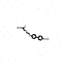 CNC(=O)COCCOc1ccc(-c2ccc(C=O)cc2)cc1